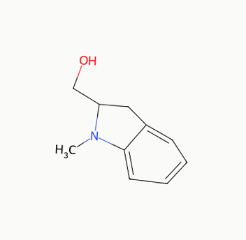 CN1c2ccccc2CC1CO